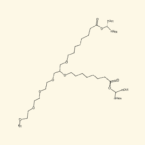 [CH2]COCCOCCOCCOCC(COCCCCCCCC(=O)OC(CCCCCC)CCCCCCCC)OCCCCCCCC(=O)OC(CCCCCC)CCCCCCCC